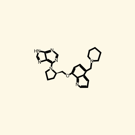 c1cnc2c(OC[C@H]3CCCN3c3ncnc4[nH]cnc34)ccc(CN3CCCCC3)c2c1